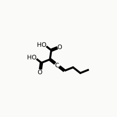 CCCC=C=C(C(=O)O)C(=O)O